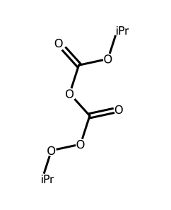 CC(C)OOC(=O)OC(=O)OC(C)C